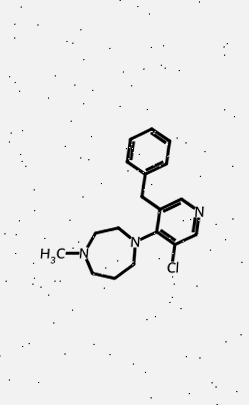 CN1CCCN(c2c(Cl)cncc2Cc2ccccc2)CC1